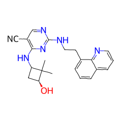 CC1(C)C(Nc2nc(NCCc3cccc4cccnc34)ncc2C#N)C[C@@H]1O